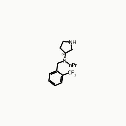 CCCN(Cc1ccccc1C(F)(F)F)[C@H]1CCNC1